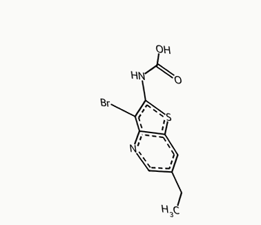 CCc1cnc2c(Br)c(NC(=O)O)sc2c1